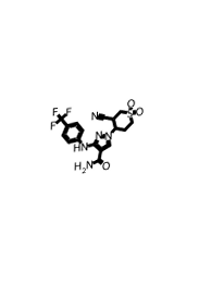 N#CC1CS(=O)(=O)CCC1n1cc(C(N)=O)c(Nc2ccc(C(F)(F)F)cc2)n1